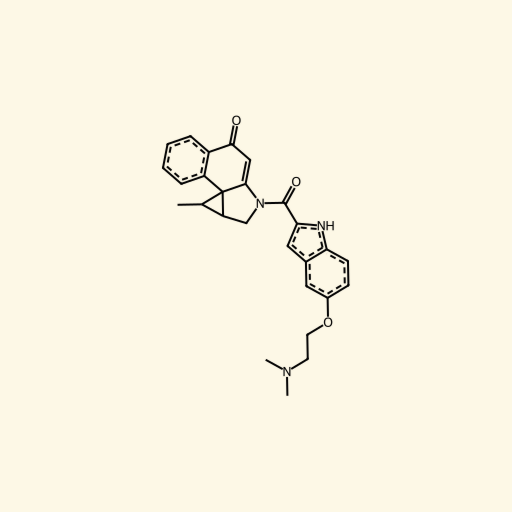 CC1C2CN(C(=O)c3cc4cc(OCCN(C)C)ccc4[nH]3)C3=CC(=O)c4ccccc4C312